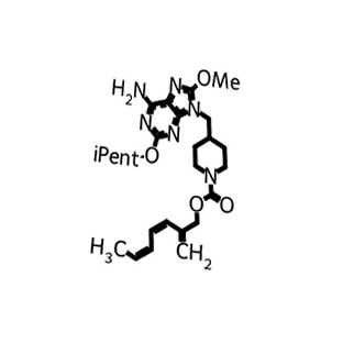 C=C(/C=C\C=C/C)COC(=O)N1CCC(Cn2c(OC)nc3c(N)nc(O[C@@H](C)CCC)nc32)CC1